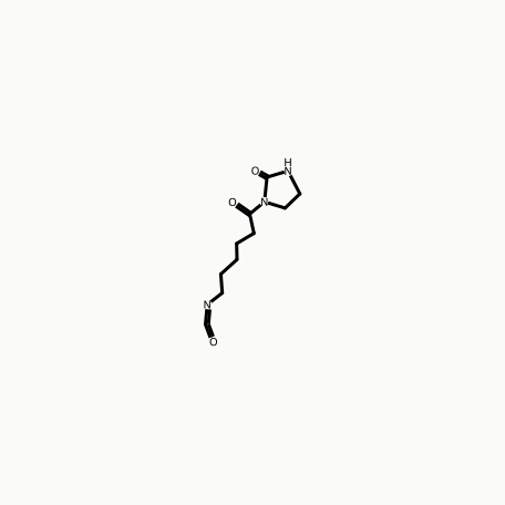 O=C=NCCCCCC(=O)N1CCNC1=O